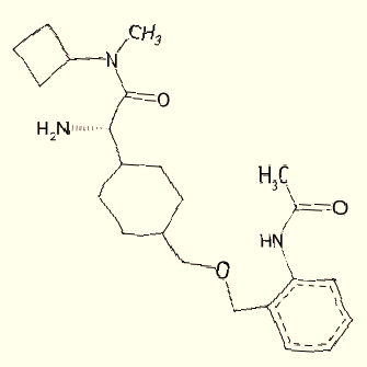 CC(=O)Nc1ccccc1COCC1CCC([C@H](N)C(=O)N(C)C2CCC2)CC1